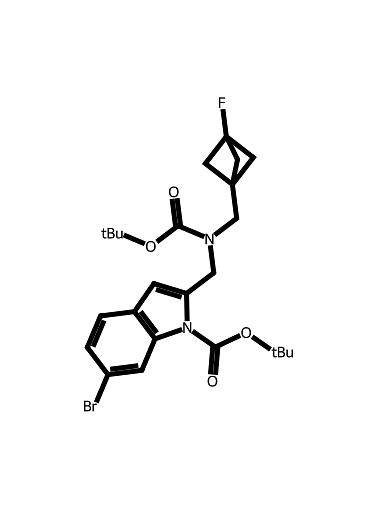 CC(C)(C)OC(=O)N(Cc1cc2ccc(Br)cc2n1C(=O)OC(C)(C)C)CC12CC(F)(C1)C2